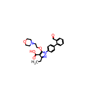 CCc1nn(-c2ccc(-c3ccccc3C=O)cc2)c(OCCN2CCOCC2)c1C(=O)O